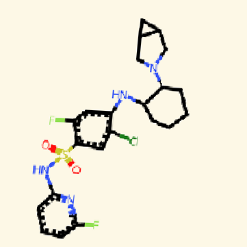 O=S(=O)(Nc1cccc(F)n1)c1cc(Cl)c(NC2CCCC[C@@H]2N2CC3CC3C2)cc1F